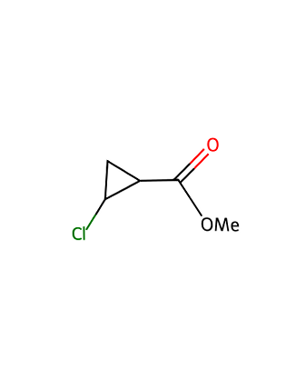 COC(=O)C1CC1Cl